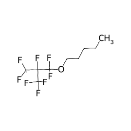 CCCCCOC(F)(F)C(F)([C](F)F)C(F)(F)F